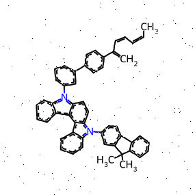 C=C(/C=C\C=C/C)c1ccc(-c2cccc(-n3c4ccccc4c4c5c6ccccc6n(-c6ccc7c(c6)C(C)(C)c6ccccc6-7)c5ccc43)c2)cc1